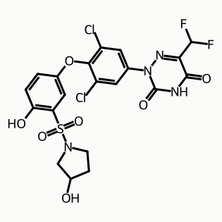 O=c1[nH]c(=O)n(-c2cc(Cl)c(Oc3ccc(O)c(S(=O)(=O)N4CCC(O)C4)c3)c(Cl)c2)nc1C(F)F